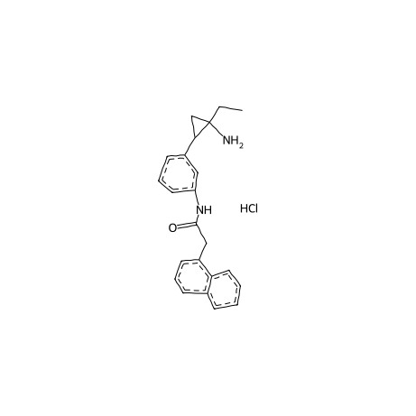 CCC1(N)CC1c1cccc(NC(=O)Cc2cccc3ccccc23)c1.Cl